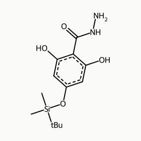 CC(C)(C)[Si](C)(C)Oc1cc(O)c(C(=O)NN)c(O)c1